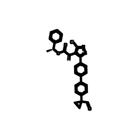 C[C@@H](OC(=O)Nc1c(Cl)nsc1-c1ccc(-c2ccc(C3(C=O)CC3)cc2)cc1)c1ccccc1